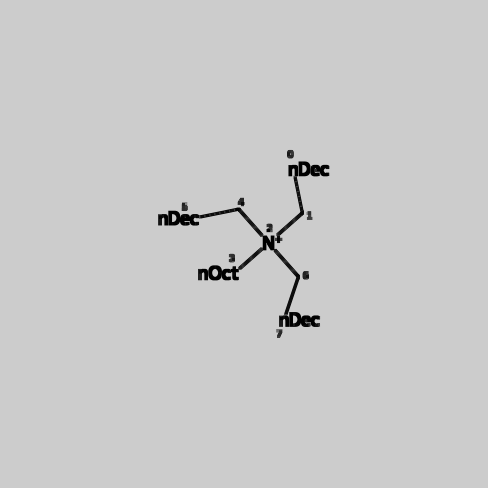 CCCCCCCCCCC[N+](CCCCCCCC)(CCCCCCCCCCC)CCCCCCCCCCC